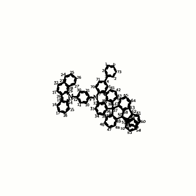 c1ccc(-c2ccc(N(c3ccc(-n4c5ccccc5c5ccc6ccccc6c54)cc3)c3cccc(C4(c5ccccc5)c5ccccc5C5(c6ccccc6)c6ccccc6-c6cccc4c65)c3)cc2)cc1